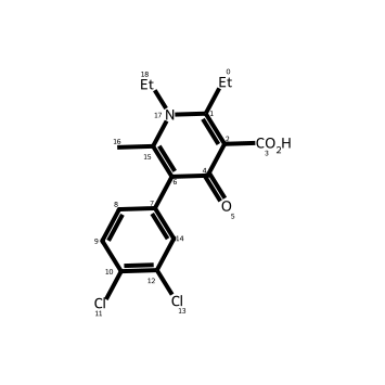 CCc1c(C(=O)O)c(=O)c(-c2ccc(Cl)c(Cl)c2)c(C)n1CC